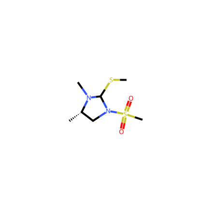 CSC1N(C)[C@@H](C)CN1S(C)(=O)=O